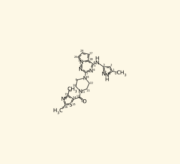 Cc1cc(Nc2nc(N3CCN(C(=O)c4sc(C)nc4C)CC3)nn3cccc23)n[nH]1